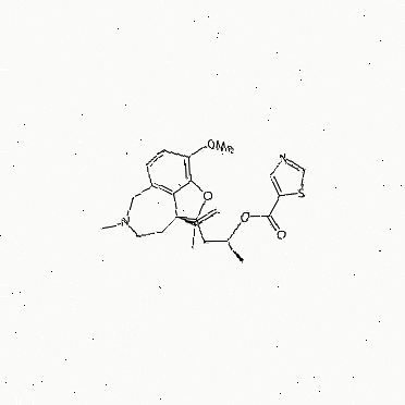 C=C(C)[C@@]12CCN(C)Cc3ccc(OC)c(c31)OC2C[C@H](C)OC(=O)c1cncs1